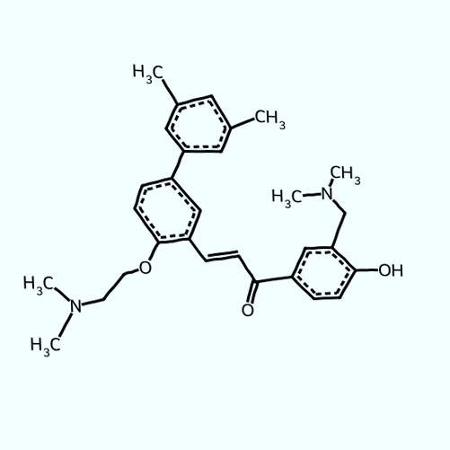 Cc1cc(C)cc(-c2ccc(OCCN(C)C)c(C=CC(=O)c3ccc(O)c(CN(C)C)c3)c2)c1